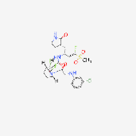 CS(=O)(=O)/C(F)=C/[C@@H](C[C@@H]1CCNC1=O)NC(=O)[C@@H]1[C@H]2CC[C@H](CC2(F)F)N1C(=O)CNc1cccc(Cl)c1